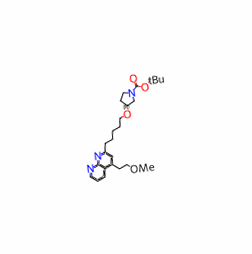 COCCc1cc(CCCCCO[C@@H]2CCN(C(=O)OC(C)(C)C)C2)nc2ncccc12